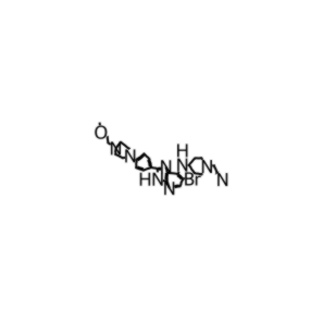 COCCN1CCN(c2ccc(-c3nc4c(NC5CCN(CC#N)CC5)c(Br)cnc4[nH]3)cc2)CC1